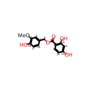 COc1cc(COC(=O)c2ccc(O)cc2O)ccc1O